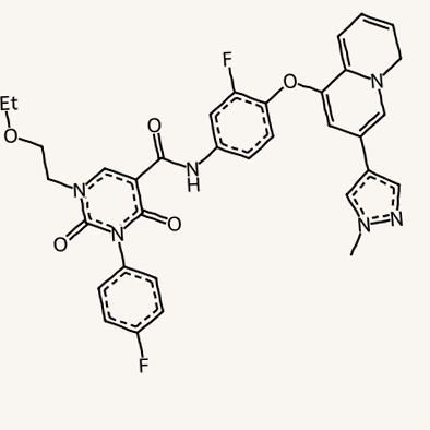 CCOCCn1cc(C(=O)Nc2ccc(OC3=CC(c4cnn(C)c4)=CN4CC=CC=C34)c(F)c2)c(=O)n(-c2ccc(F)cc2)c1=O